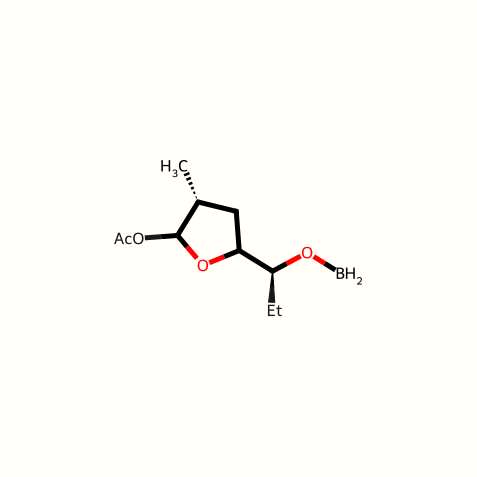 BO[C@@H](CC)C1C[C@@H](C)C(OC(C)=O)O1